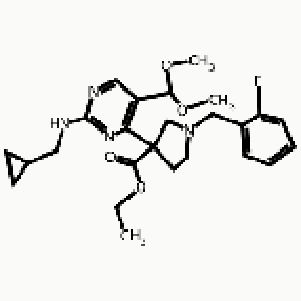 CCOC(=O)C1(c2nc(NCC3CC3)ncc2C(OC)OC)CCN(Cc2ccccc2F)C1